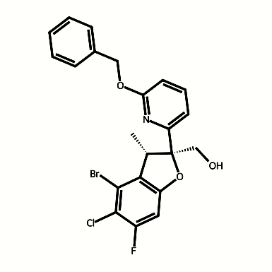 C[C@H]1c2c(cc(F)c(Cl)c2Br)O[C@]1(CO)c1cccc(OCc2ccccc2)n1